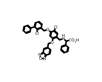 O=C(O)C(NCc1cc(Cl)c(OCc2cccc(-c3ccccc3)c2Cl)cc1OCc1ccc2nonc2c1)c1ccccc1